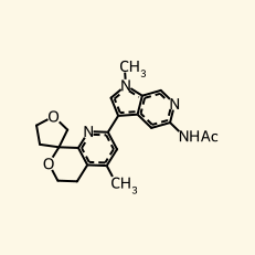 CC(=O)Nc1cc2c(-c3cc(C)c4c(n3)C3(CCOC3)OCC4)cn(C)c2cn1